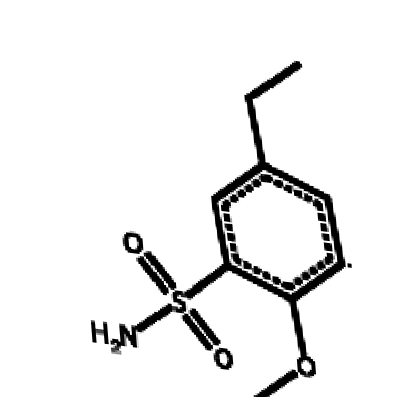 CCc1c[c]c(OC)c(S(N)(=O)=O)c1